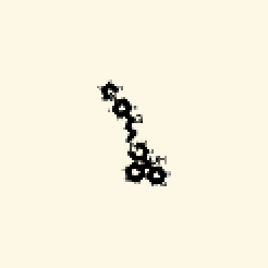 O=C(CCCN1CCC(C(O)(c2ccccc2)c2ccccc2)CC1)c1ccc(N2CCCC2)cc1